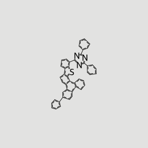 c1ccc(-c2ccc3c4ccccc4c4c(ccc5c6cccc(-c7nc(-c8ccccc8)nc(-c8ccccc8)n7)c6sc54)c3c2)cc1